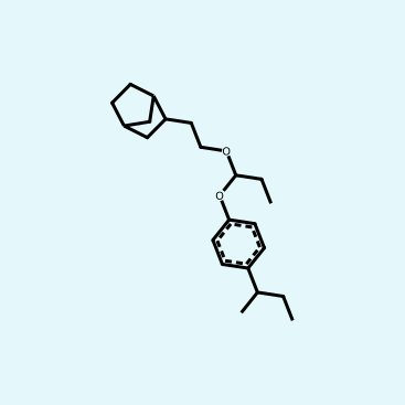 CCC(OCCC1CC2CCC1C2)Oc1ccc(C(C)CC)cc1